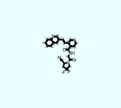 N#CC1CC(F)(F)CN1C(=O)CNC(=O)c1ccncc1C=Cc1cnc2ccccc2c1